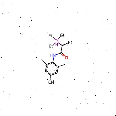 CCC(C(=O)Nc1c(C)cc(C#N)cc1C)[PH](CC)(CC)CC